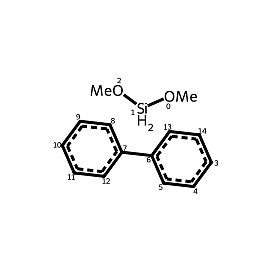 CO[SiH2]OC.c1ccc(-c2ccccc2)cc1